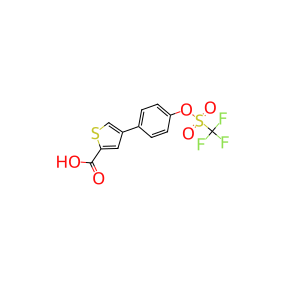 O=C(O)c1cc(-c2ccc(OS(=O)(=O)C(F)(F)F)cc2)cs1